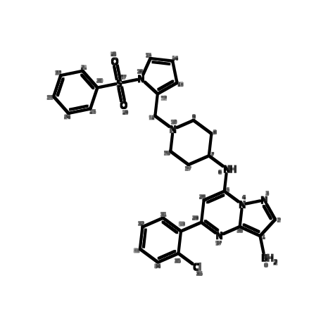 Bc1cnn2c(NC3CCN(Cc4cccn4S(=O)(=O)c4ccccc4)CC3)cc(-c3ccccc3Cl)nc12